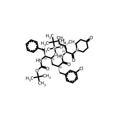 CC[C@H](C)[C@H](NC(=O)[C@H](Cc1cccc(Cl)c1)C[C@H](O[Si](C)(C)C(C)(C)C)[C@H](Cc1ccccc1)NC(=O)OC(C)(C)C)C(=O)N1CCC(=O)CC1